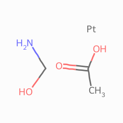 CC(=O)O.NCO.[Pt]